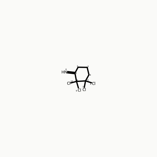 N=C1CCCC(Cl)(Cl)C1(Cl)Cl